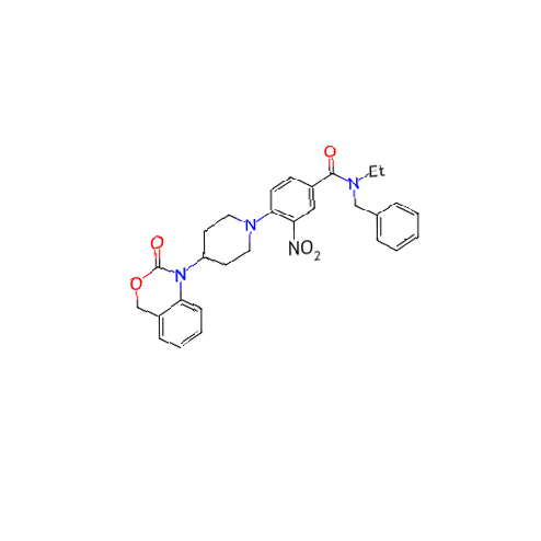 CCN(Cc1ccccc1)C(=O)c1ccc(N2CCC(N3C(=O)OCc4ccccc43)CC2)c([N+](=O)[O-])c1